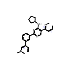 C=C/C(=C\N(C)C)c1cccc(-c2ncc(C(/C=C\C)=N/C)c(NC3CCCC3)n2)c1